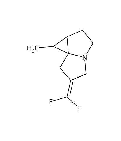 CC1C2CCN3CC(=C(F)F)CC123